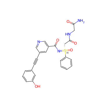 NC(=O)CNC(=O)C[S@@](=O)(=NC(=O)c1cncc(C#Cc2cccc(O)c2)c1)c1ccccc1